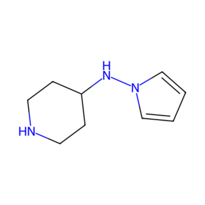 c1ccn(NC2CCNCC2)c1